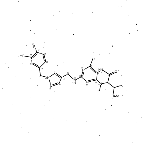 COC(C)C1C(=O)Nc2c(C)nc(NCc3cnn(Cc4ccc(F)c(F)c4)c3)nc2N1C